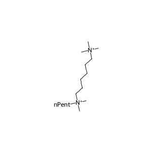 CCCCC[N+](C)(C)CCCCCC[N+](C)(C)C